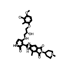 COc1ccc(OC[C@H](O)CNc2cc[nH]c(=O)c2-c2nc3cc4c(c(C)c3[nH]2)C(=O)N(C2CCN(C)CC2)C4=O)c(C)c1Cl